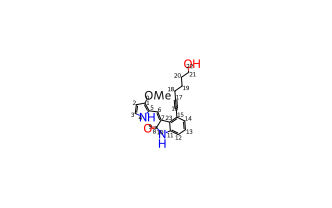 COc1cc[nH]c1C=C1C(=O)Nc2cccc(C#CCCCCO)c21